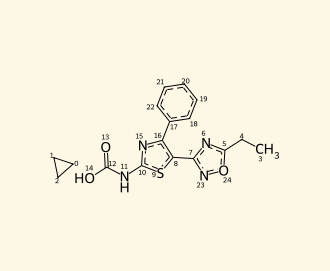 C1CC1.CCc1nc(-c2sc(NC(=O)O)nc2-c2ccccc2)no1